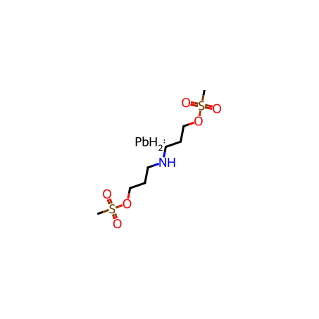 CS(=O)(=O)OCCCNCCCOS(C)(=O)=O.[PbH2]